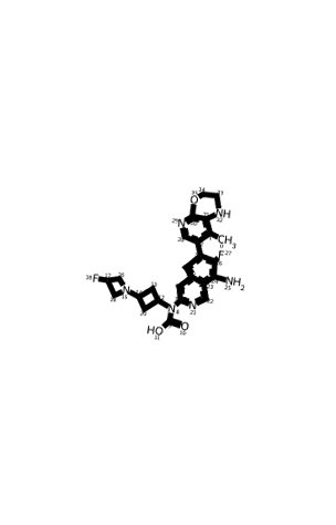 Cc1c(-c2cc3cc(N(C(=O)O)C4CC(N5CC(F)C5)C4)ncc3c(N)c2F)cnc2c1NCCO2